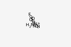 Cc1cc2nc(N)c(N3CCC(S(=O)(=O)c4ccc(F)cc4)CC3)nc2c(C2CC2)n1